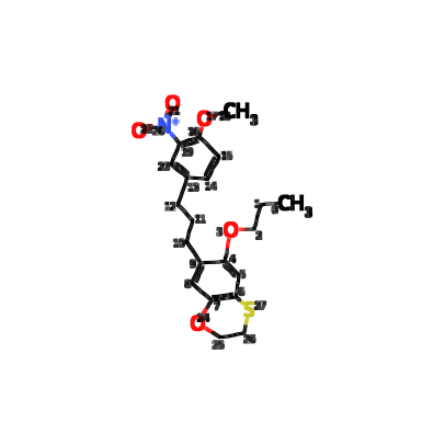 CCCOc1cc2c(cc1CCCc1ccc(OC)c([N+](=O)[O-])c1)OCCS2